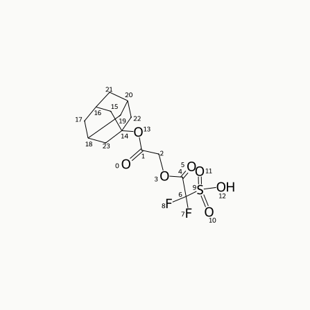 O=C(COC(=O)C(F)(F)S(=O)(=O)O)OC12CC3CC(CC(C3)C1)C2